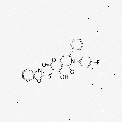 O=c1oc2cc(-c3ccccc3)n(-c3ccc(F)cc3)c(=O)c2c(O)c1Sc1nc2ccccc2o1